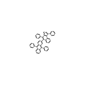 c1ccc(-c2c3ccccc3c(-c3ccccc3)c3cc(-c4c(-c5ccccc5)c5scc(-c6ccccc6)c5c5ccccc45)ccc23)cc1